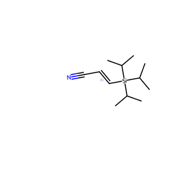 CC(C)[Si](/C=C/C#N)(C(C)C)C(C)C